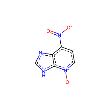 O=[N+]([O-])c1cc[n+]([O-])c2[nH]cnc12